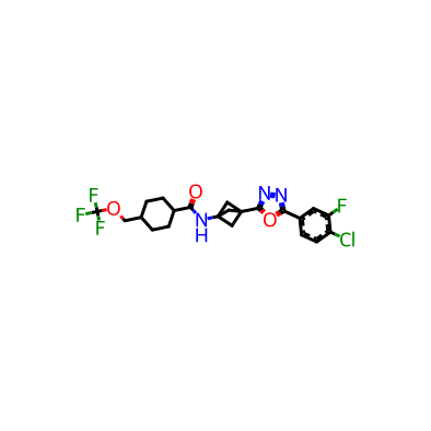 O=C(NC12CC(c3nnc(-c4ccc(Cl)c(F)c4)o3)(C1)C2)C1CCC(COC(F)(F)F)CC1